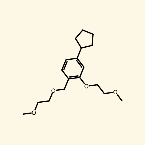 COCCOCc1ccc(C2CCCC2)cc1OCCOC